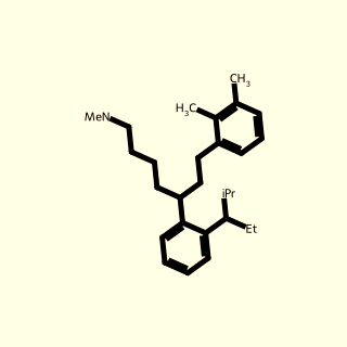 CCC(c1ccccc1C(CCCCNC)CCc1cccc(C)c1C)C(C)C